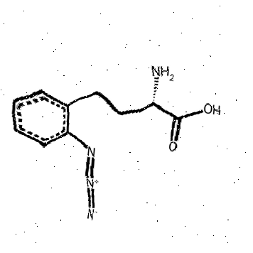 [N-]=[N+]=Nc1ccccc1CC[C@H](N)C(=O)O